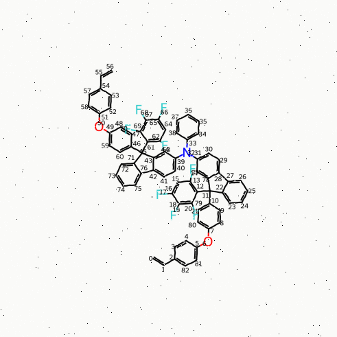 C=Cc1ccc(Oc2ccc(C3(c4c(F)cc(F)c(F)c4F)c4ccccc4-c4ccc(N(c5ccccc5)c5ccc6c(c5)C(c5ccc(Oc7ccc(C=C)cc7)cc5)(c5c(F)cc(F)c(F)c5F)c5ccccc5-6)cc43)cc2)cc1